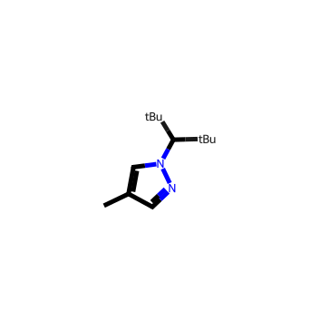 Cc1cnn(C(C(C)(C)C)C(C)(C)C)c1